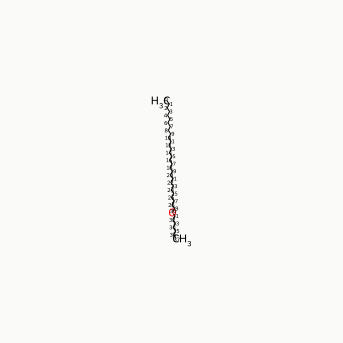 CCCCCCCCCCCCCCCCCCCCCCCCCCCCCCOCCCCCCC